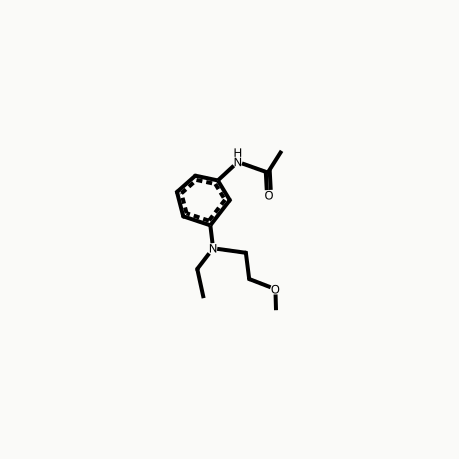 CCN(CCOC)c1cccc(NC(C)=O)c1